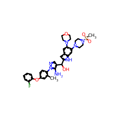 Cc1cc(Oc2ccccc2F)ccc1-n1ncc(C(O)c2cc3cc(N4CCOCC4)c(N4CCN(S(C)(=O)=O)CC4)cc3[nH]2)c1N